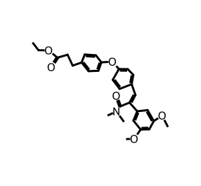 CCOC(=O)CCc1ccc(Oc2ccc(C=C(C(=O)N(C)C)c3cc(OC)cc(OC)c3)cc2)cc1